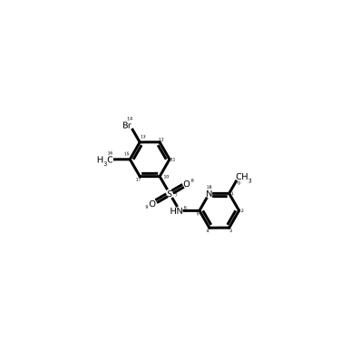 Cc1cccc(NS(=O)(=O)c2ccc(Br)c(C)c2)n1